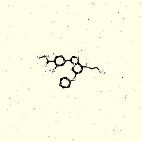 CCNC(=O)c1ccc(-c2cnc3c(NCCC(F)(F)F)cc(Oc4ccccc4)cn23)cc1C